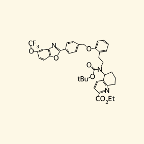 CCOC(=O)c1ccc2c(n1)CCCC2N(CCc1ccccc1OCc1ccc(-c2nc3cc(OC(F)(F)F)ccc3o2)cc1)C(=O)OC(C)(C)C